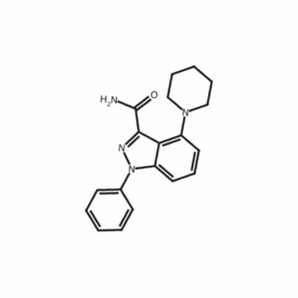 NC(=O)c1nn(-c2ccccc2)c2cccc(N3CCCCC3)c12